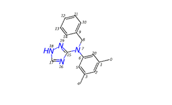 Cc1cc(C)cc(N(Cc2ccccc2)c2nc[nH]n2)c1